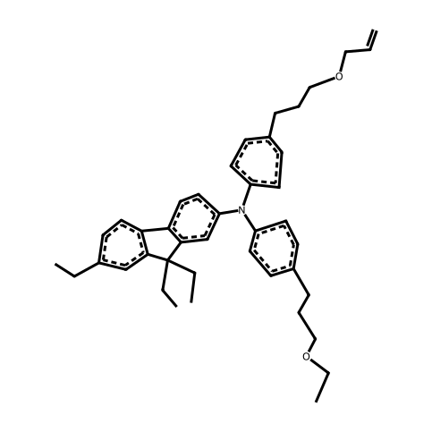 C=CCOCCCc1ccc(N(c2ccc(CCCOCC)cc2)c2ccc3c(c2)C(CC)(CC)c2cc(CC)ccc2-3)cc1